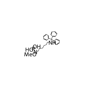 CON(CCCCCCNC(c1ccccc1)(c1ccccc1)c1ccccc1)P(O)O